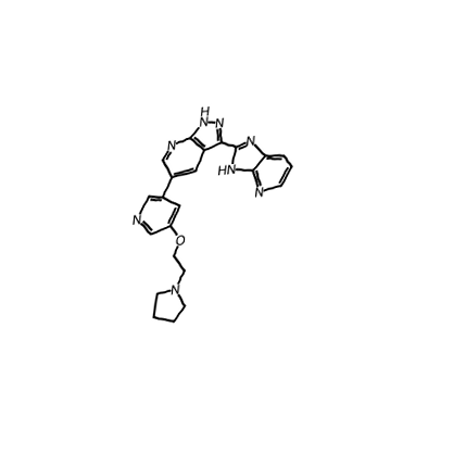 c1cnc2[nH]c(-c3n[nH]c4ncc(-c5cncc(OCCN6CCCC6)c5)cc34)nc2c1